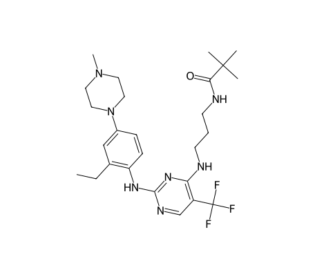 CCc1cc(N2CCN(C)CC2)ccc1Nc1ncc(C(F)(F)F)c(NCCCNC(=O)C(C)(C)C)n1